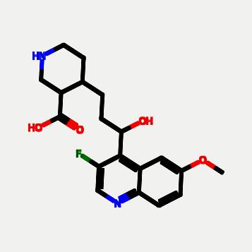 COc1ccc2ncc(F)c(C(O)CCC3CCNCC3C(=O)O)c2c1